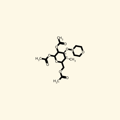 CC(=O)OCC1OC(OC(C)=O)C(OC(C)=O)[C@@H](ON2CCOCC2)[C@@H]1C